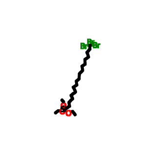 CCO[Si](CCCCCCCCCCCCCCCCCC(Br)(Br)Br)(OCC)OCC